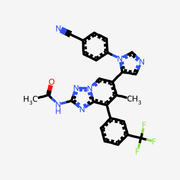 CC(=O)Nc1nc2c(-c3cccc(C(F)(F)F)c3)c(C)c(-c3cncn3-c3ccc(C#N)cc3)cn2n1